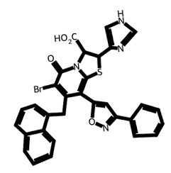 O=C(O)C1C(c2c[nH]cn2)Sc2c(-c3cc(-c4ccccc4)no3)c(Cc3cccc4ccccc34)c(Br)c(=O)n21